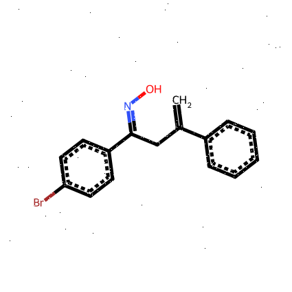 C=C(CC(=NO)c1ccc(Br)cc1)c1ccccc1